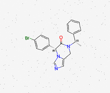 C[C@@H](c1ccccc1)N1Cc2cncn2[C@H](c2ccc(Br)cc2)C1=O